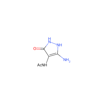 CC(=O)Nc1c(N)[nH][nH]c1=O